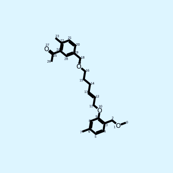 COCc1ccc(C)cc1OC/C=C/CCCOCc1ccc(C)c(C(C)=O)c1